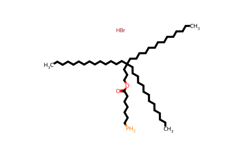 Br.CCCCCCCCCCCCCCC(CCCCCCCCCCCCCC)(CCCCCCCCCCCCCC)CCCOC(=O)CCCCCCP